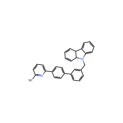 N#Cc1cccc(-c2ccc(-c3cccc(CN4c5ccccc5C5C=CC=CC54)c3)cc2)n1